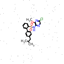 COc1nc(Cl)cnc1NS(=O)(=O)c1ccccc1-c1ccc(CC(C)C)cc1